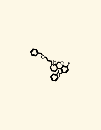 Fc1ccc(F)c2c1OC[C@H]1N(CCCOCc3ccccc3)CCC[C@@]21Cc1ccccc1